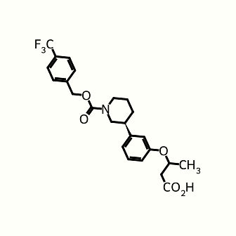 CC(CC(=O)O)Oc1cccc([C@@H]2CCCN(C(=O)OCc3ccc(C(F)(F)F)cc3)C2)c1